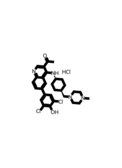 CC(=O)c1cnc2ccc(-c3cc(Cl)c(O)c(Cl)c3)cc2c1N[C@H]1CC[C@H](CN2CCN(C)CC2)CC1.Cl